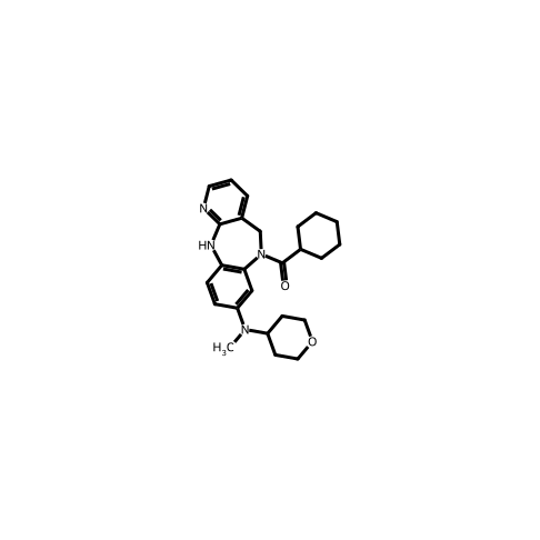 CN(c1ccc2c(c1)N(C(=O)C1CCCCC1)Cc1cccnc1N2)C1CCOCC1